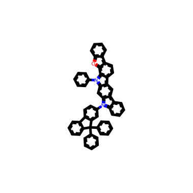 c1ccc(-n2c3cc4c(cc3c3ccc5c6ccccc6oc5c32)c2ccccc2n4-c2ccc3c(c2)C(c2ccccc2)(c2ccccc2)c2ccccc2-3)cc1